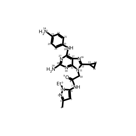 CCn1nc(C)cc1NC(=O)Cn1c(C2CC2)nc2c(Nc3ccc(N)cc3)nc(N)nc21